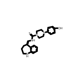 Oc1ccc(N2CCN(C(=S)N/C=C3/CCCNc4ccccc43)CC2)cc1